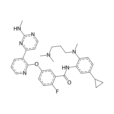 CNc1nccc(-c2cccnc2Oc2ccc(F)c(C(=O)Nc3cc(C4CC4)ccc3N(C)CCCN(C)C)c2)n1